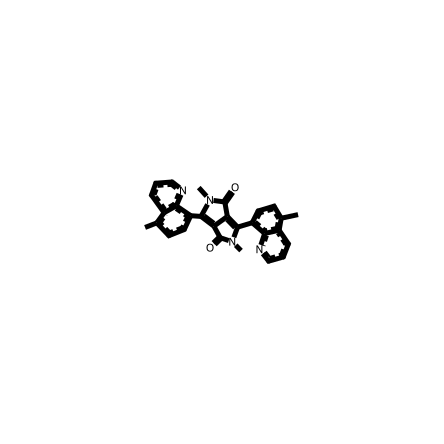 Cc1ccc(C2=C3C(=O)N(C)C(c4ccc(C)c5cccnc45)=C3C(=O)N2C)c2ncccc12